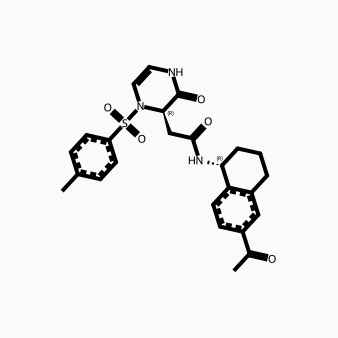 CC(=O)c1ccc2c(c1)CCC[C@H]2NC(=O)C[C@@H]1C(=O)NC=CN1S(=O)(=O)c1ccc(C)cc1